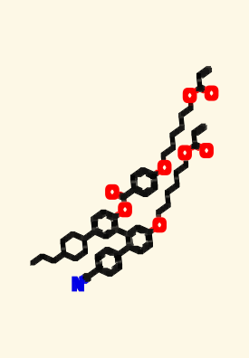 C=CC(=O)OCCCCCCOc1ccc(C(=O)Oc2ccc(C3CCC(CCC)CC3)cc2-c2cc(OCCCCCCOC(=O)C=C)ccc2-c2ccc(C#N)cc2)cc1